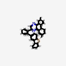 Cc1ccc2c3ccc(C)cc3c3nc(-c4ccccc4-c4ccc5sc6ccccc6c5c4)cnc3c2c1